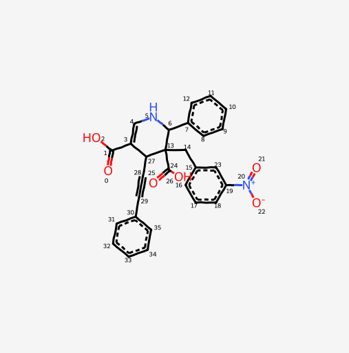 O=C(O)C1=CNC(c2ccccc2)C(Cc2cccc([N+](=O)[O-])c2)(C(=O)O)C1C#Cc1ccccc1